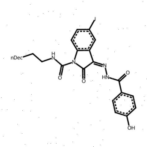 CCCCCCCCCCCCNC(=O)N1C(=O)C(=NNC(=O)c2ccc(O)cc2)c2cc(I)ccc21